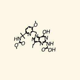 COC(=O)NC(C)(C)c1ccc(OC)c(Cn2nc(I)c3nc(NC(=O)O)nc(O)c32)n1